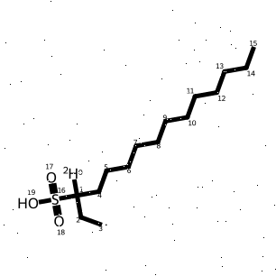 [2H]C(C[CH2])(CCCCCCCCCCCC)S(=O)(=O)O